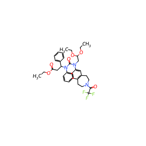 CCOC(=O)CC(c1ccccc1)N(C(=O)N(CC(OCC)OCC)c1ccc2c(c1)CCN(C(=O)C(F)(F)F)CC2)c1ccccc1